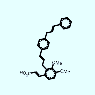 COc1ccc(C=CC(=O)O)c(CC=Cc2ccc(CC=Cc3ccccc3)cc2)c1OC